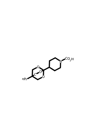 CCCC12COC(C3CCN(C(=O)O)CC3)(OC1)OC2